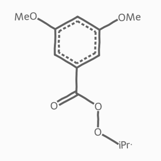 COc1cc(OC)cc(C(=O)OO[C](C)C)c1